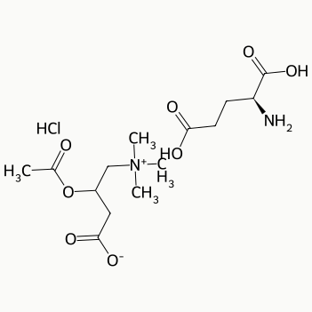 CC(=O)OC(CC(=O)[O-])C[N+](C)(C)C.Cl.N[C@@H](CCC(=O)O)C(=O)O